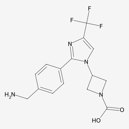 NCc1ccc(-c2nc(C(F)(F)F)cn2C2CN(C(=O)O)C2)cc1